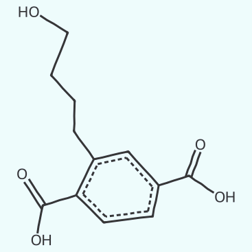 O=C(O)c1ccc(C(=O)O)c(CCCCO)c1